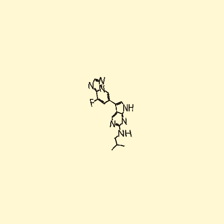 CC(C)CNc1ncc2c(-c3cc(F)c4ncnn4c3)c[nH]c2n1